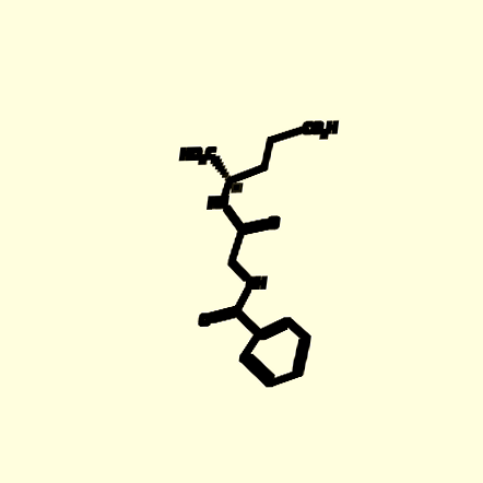 O=C(O)CC[C@H](NC(=O)CNC(=O)c1ccccc1)C(=O)O